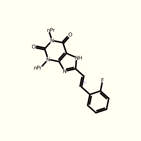 CCCn1c(=O)c2[nH]c(/C=C/c3ccccc3F)nc2n(CCC)c1=O